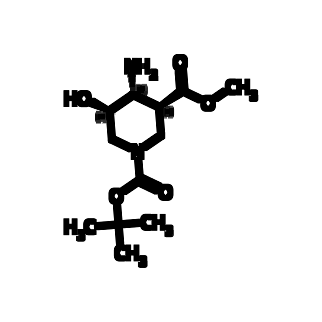 COC(=O)[C@H]1CN(C(=O)OC(C)(C)C)C[C@@H](O)[C@@H]1N